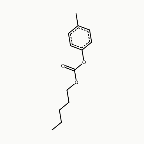 CCCCCOC(=O)Oc1ccc(C)cc1